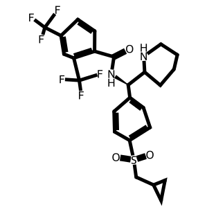 O=C(N[C@H](c1ccc(S(=O)(=O)CC2CC2)cc1)C1CCCCN1)c1ccc(C(F)(F)F)cc1C(F)(F)F